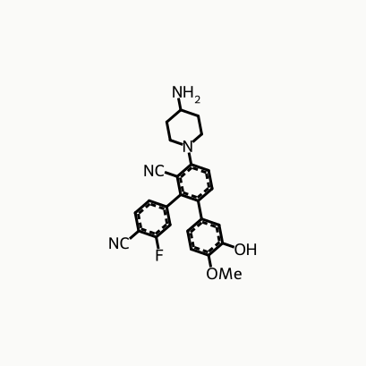 COc1ccc(-c2ccc(N3CCC(N)CC3)c(C#N)c2-c2ccc(C#N)c(F)c2)cc1O